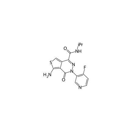 CC(C)NC(=O)c1nn(-c2cnccc2F)c(=O)c2c(N)scc12